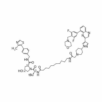 Cc1ncsc1-c1ccc(CNC(=O)[C@@H]2C[C@@H](O)CN2C(=O)[C@@H](NC(=O)CCCCCCCCCCNC(=O)CN2CCC(n3cc(-c4cnc5cccc(-c6cc(F)c(CN7CCOCC7)c(F)c6)c5n4)cn3)CC2)C(C)(C)C)cc1